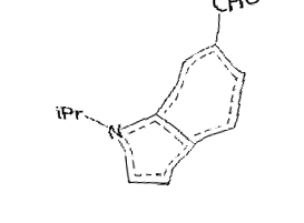 CC(C)n1ccc2ccc(C=O)cc21